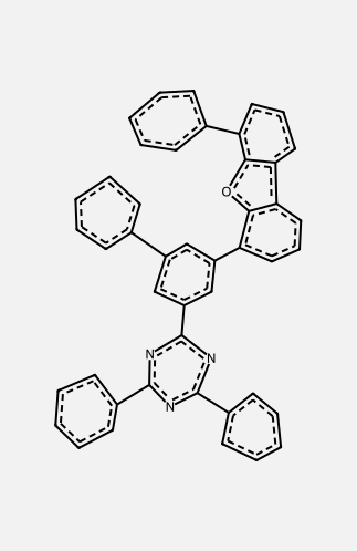 c1ccc(-c2cc(-c3nc(-c4ccccc4)nc(-c4ccccc4)n3)cc(-c3cccc4c3oc3c(-c5ccccc5)cccc34)c2)cc1